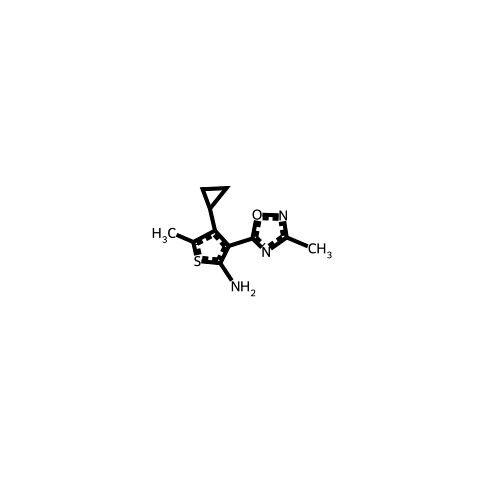 Cc1noc(-c2c(N)sc(C)c2C2CC2)n1